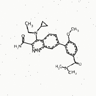 CCN(c1c(C(N)=O)nnc2cc(-c3cc(C(=O)N(C)C)ccc3OC)ccc12)C1CC1